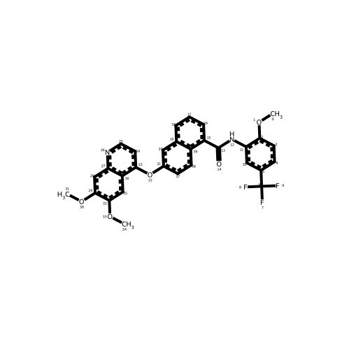 COc1ccc(C(F)(F)F)cc1NC(=O)c1cccc2cc(Oc3ccnc4cc(OC)c(OC)cc34)ccc12